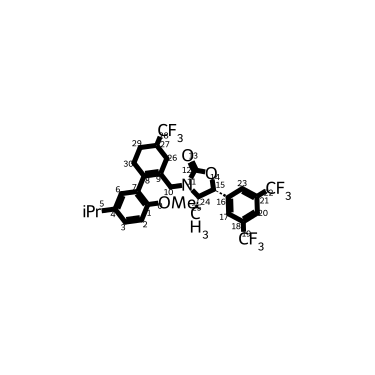 COc1ccc(C(C)C)cc1C1=C(CN2C(=O)O[C@H](c3cc(C(F)(F)F)cc(C(F)(F)F)c3)[C@@H]2C)CC(C(F)(F)F)CC1